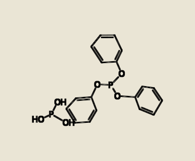 OP(O)O.c1ccc(OP(Oc2ccccc2)Oc2ccccc2)cc1